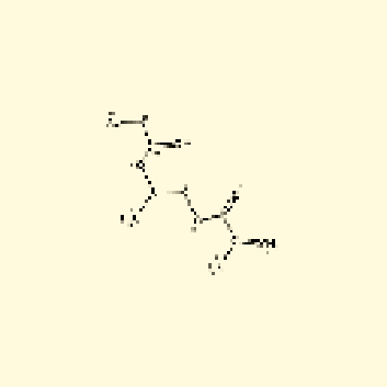 C=C(C)C(=O)OCC(C)OC(=O)CC(C)=O